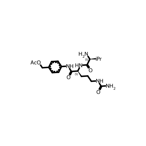 CC(=O)OCc1ccc(NC(=O)[C@H](CCCNC(N)=O)NC(=O)[C@@H](N)C(C)C)cc1